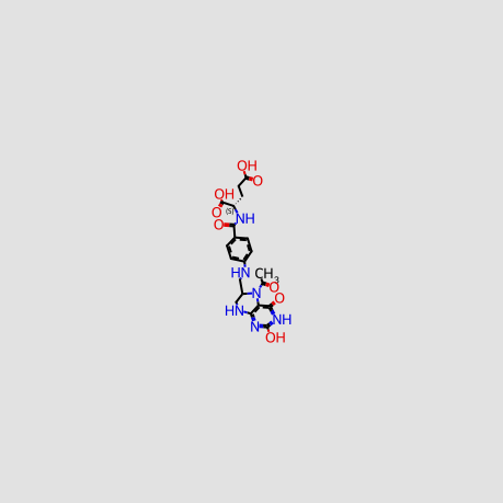 CC(=O)N1c2c(nc(O)[nH]c2=O)NCC1CNc1ccc(C(=O)N[C@@H](CCC(=O)O)C(=O)O)cc1